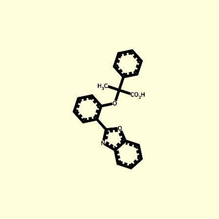 CC(Oc1ccccc1-c1nc2ccccc2o1)(C(=O)O)c1ccccc1